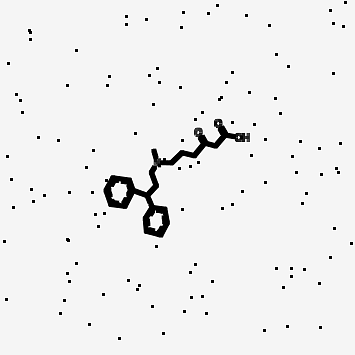 CN(CCCC(=O)CC(=O)O)CCC(c1ccccc1)c1ccccc1